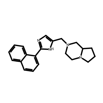 c1ccc2c(-c3ncc(CN4CCN5CCCC5C4)[nH]3)cccc2c1